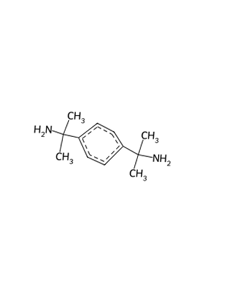 CC(C)(N)c1ccc(C(C)(C)N)cc1